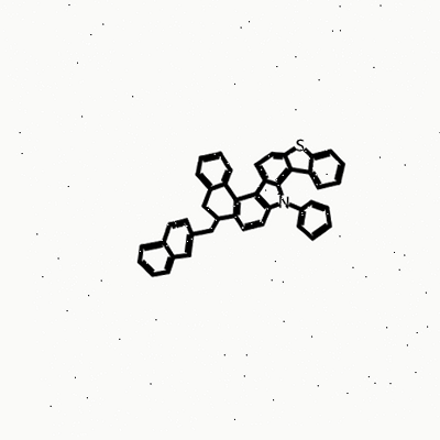 c1ccc(-n2c3ccc4c(c3c3ccc5sc6ccccc6c5c32)-c2ccccc2CC4Cc2ccc3ccccc3c2)cc1